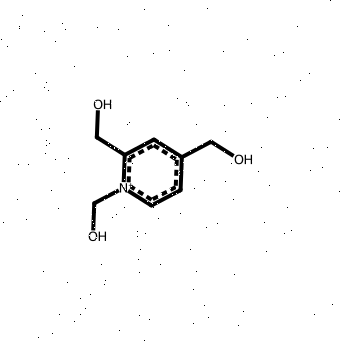 OCc1cc[n+](CO)c(CO)c1